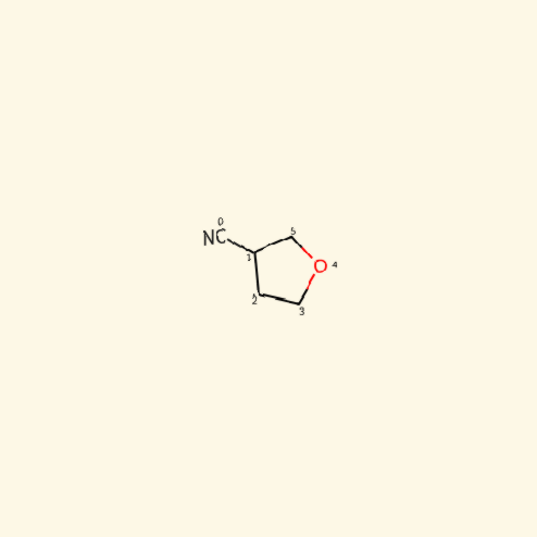 N#CC1[CH]COC1